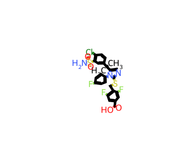 CC(C)(c1ccc(Cl)c(S(N)(=O)=O)c1)c1cnc(SCc2c(F)cc(C(=O)O)cc2F)n1-c1ccc(F)cc1